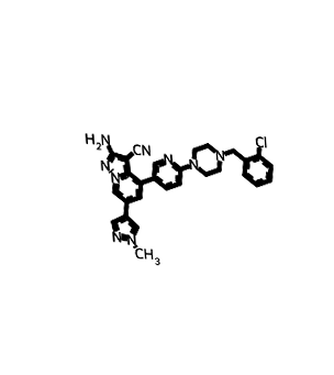 Cn1cc(-c2cc(-c3ccc(N4CCN(Cc5ccccc5Cl)CC4)nc3)c3c(C#N)c(N)nn3c2)cn1